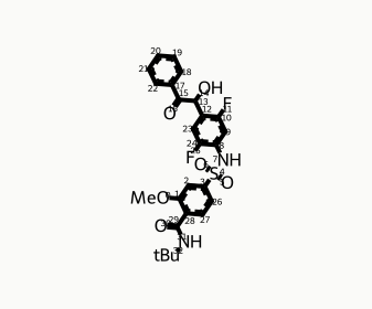 COc1cc(S(=O)(=O)Nc2cc(F)c(C(O)C(=O)c3ccccc3)cc2F)ccc1C(=O)NC(C)(C)C